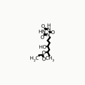 C=CC(=O)OC(CC)CC(O)CCCn1c(=O)[nH]c(=O)[nH]c1=O